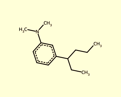 CCCC(CC)c1cccc(N(C)C)c1